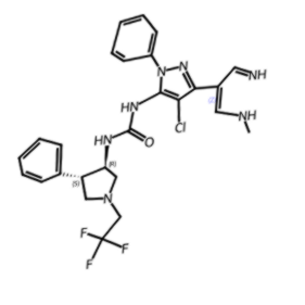 CN/C=C(\C=N)c1nn(-c2ccccc2)c(NC(=O)N[C@H]2CN(CC(F)(F)F)C[C@@H]2c2ccccc2)c1Cl